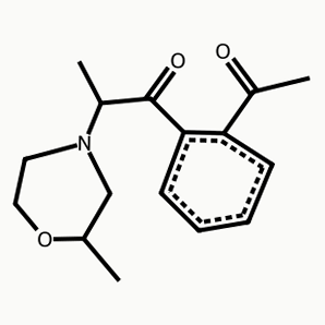 CC(=O)c1ccccc1C(=O)C(C)N1CCOC(C)C1